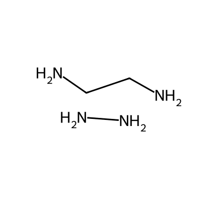 NCCN.NN